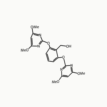 COc1cc(OC)nc(Oc2cccc(Oc3nc(OC)cc(OC)n3)c2CO)n1